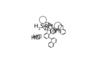 CCCC1(CC2=Cc3c(-c4cccc5ccccc45)cccc3[CH]2[Zr]([CH3])([CH3])(=[SiH2])[CH]2C(CC3(CCC)CCCCCCC3)=Cc3c(-c4cccc5ccccc45)cccc32)CCCCCCC1.Cl.Cl